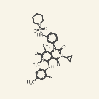 Cc1ccc(Nc2c3c(=O)n(C4CC4)c(=O)n(-c4cccc(NS(=O)(=O)N5CCCCC5)c4)c3c(C)c(=O)n2C)c(F)c1